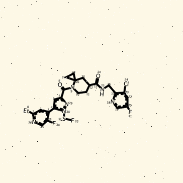 CCc1cc(-c2cc(C(=O)N3CCC(C(=O)NCc4ncc(F)cc4Cl)CC34CC4)nn2SF)c(F)cn1